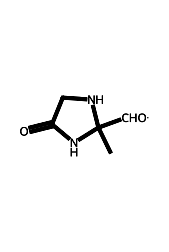 CC1([C]=O)NCC(=O)N1